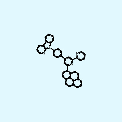 c1ccc(-c2cc(-c3ccc(-n4c5ccccc5c5cccnc54)cc3)cc(-c3ccc4ccc5cccc6ccc3c4c56)n2)nc1